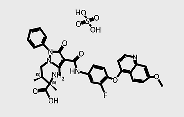 COc1ccc2c(Oc3ccc(NC(=O)c4c(C)n(C[C@H](C)[C@](C)(N)C(=O)O)n(-c5ccccc5)c4=O)cc3F)ccnc2c1.O=S(=O)(O)O